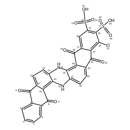 O=c1c2ccccc2c(=O)c2c1ccc1[nH]c3c(ccc4c(=O)c5c(Cl)c(S(=O)(=O)O)c(S(=O)(=O)O)cc5c(=O)c43)[nH]c12